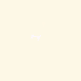 CCC(O)(CC)Cn1ncc2cc(C)c(F)cc21